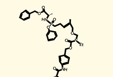 CCN(COC/C(C)=C/CCP(=O)(N[C@@H](C)C(=O)OCc1ccccc1)Oc1ccccc1)C(=O)OCc1ccc(NC(=O)[C@H](C)N)cc1